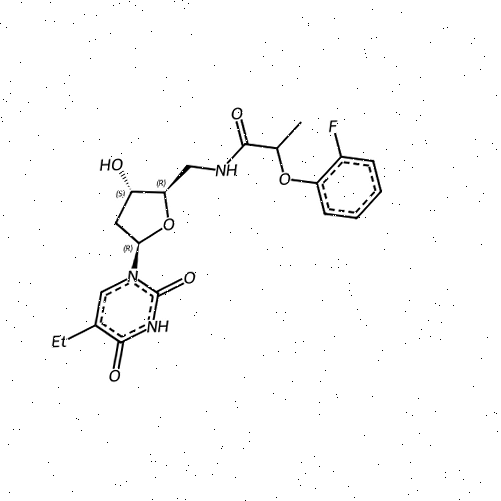 CCc1cn([C@H]2C[C@H](O)[C@@H](CNC(=O)C(C)Oc3ccccc3F)O2)c(=O)[nH]c1=O